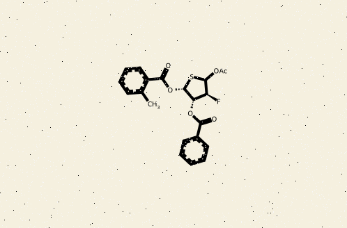 CC(=O)OC1S[C@@H](OC(=O)c2ccccc2C)[C@@H](OC(=O)c2ccccc2)[C@@H]1F